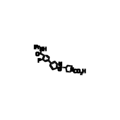 CC(C)NC(=O)c1ccc(-c2ccc3oc(C4CCN(C(=O)O)CC4)nc3c2)cc1F